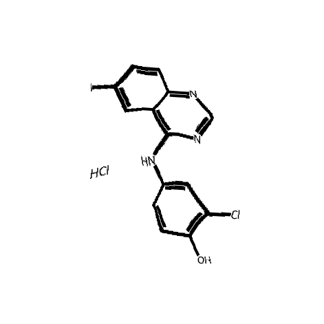 Cl.Oc1ccc(Nc2ncnc3ccc(I)cc23)cc1Cl